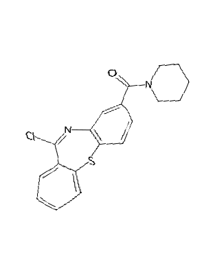 O=C(c1ccc2c(c1)N=C(Cl)c1ccccc1S2)N1CCCCC1